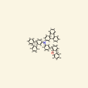 c1ccc(-c2ccccc2-c2ccc(N(c3ccc(-c4ccccc4-c4ccccc4)cc3)c3cccc(-c4cccc5c4oc4ccccc45)c3)cc2)cc1